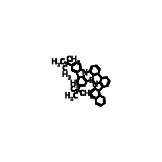 CC(C)(C)c1ccc2c(c1)c1cc(C(C)(C)C)cc3c1n2-c1cccc2c1B3n1c3ccc4ccccc4c3c3cccc-2c31